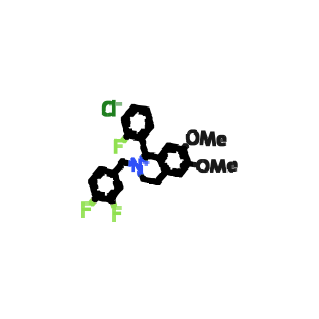 COc1cc2c(cc1OC)C(c1ccccc1F)=[N+](Cc1ccc(F)c(F)c1)CC2.[Cl-]